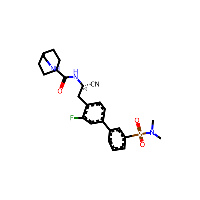 CN(C)S(=O)(=O)c1cccc(-c2ccc(C[C@@H](C#N)NC(=O)C34CCC(CC3)CN4)c(F)c2)c1